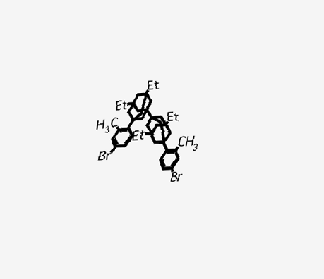 CCC12CC3(CC)CC(c4ccc(Br)cc4C)(C1)CC(C14CC5(CC)CC(CC)(CC(c6ccc(Br)cc6C)(C5)C1)C4)(C2)C3